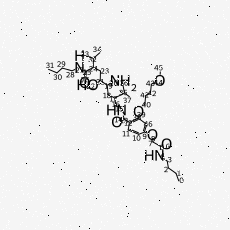 CCCCNC(=O)COc1ccc(C(=O)NCC(CC(N)C(O)CC(C(=O)NCCCC)C(C)C)C(C)C)c(OCCCCOC)c1